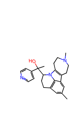 Cc1cc2c3c(c1)c1c(n3C(C(C)(O)c3ccncc3)CC2)CCN(C)CC1